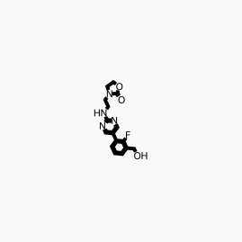 O=C1OCCN1CCNc1ncc(-c2cccc(CO)c2F)cn1